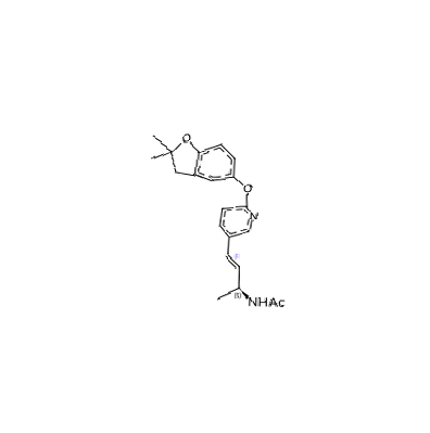 CC(=O)N[C@@H](C)/C=C/c1ccc(Oc2ccc3c(c2)CC(C)(C)O3)nc1